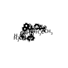 CN(C)C(=O)c1cc2n(n1)CCCN(c1nc(OC[C@@]34CCCN3C[C@H](F)C4)nc3c1COC1(CCCc4ccc(NC(=O)OC(C)(C)C)cc41)C3)C2